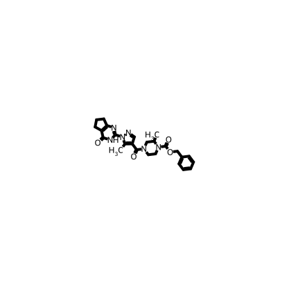 Cc1c(C(=O)N2CCN(C(=O)OCc3ccccc3)C(C)C2)cnn1-c1nc2c(c(=O)[nH]1)CCC2